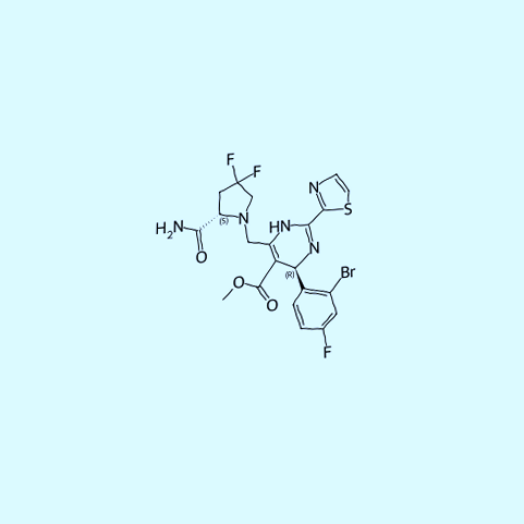 COC(=O)C1=C(CN2CC(F)(F)C[C@H]2C(N)=O)NC(c2nccs2)=N[C@H]1c1ccc(F)cc1Br